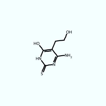 Nc1nc(=S)[nH]c(O)c1CCO